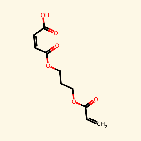 C=CC(=O)OCCCOC(=O)/C=C\C(=O)O